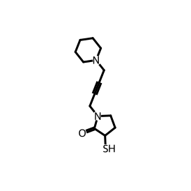 O=C1C(S)CCN1CC#CCN1CCCCC1